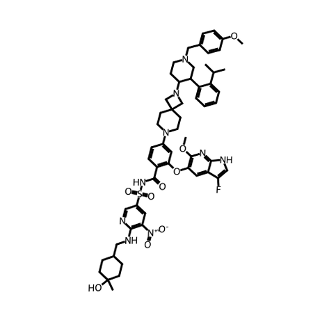 COc1ccc(CN2CCC(N3CC4(CCN(c5ccc(C(=O)NS(=O)(=O)c6cnc(NCC7CCC(C)(O)CC7)c([N+](=O)[O-])c6)c(Oc6cc7c(F)c[nH]c7nc6OC)c5)CC4)C3)C(c3ccccc3C(C)C)C2)cc1